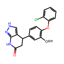 COc1cc(C2CC(=O)Nc3n[nH]cc32)ccc1Oc1ccccc1Cl